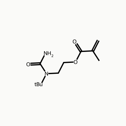 C=C(C)C(=O)OCCN(C(N)=O)C(C)(C)C